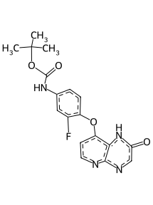 CC(C)(C)OC(=O)Nc1ccc(Oc2ccnc3ncc(=O)[nH]c23)c(F)c1